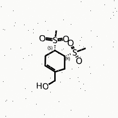 CS(=O)(=O)[C@@H]1CC(CO)=CC[C@@H]1S(C)(=O)=O